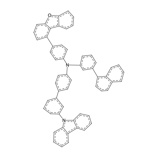 c1cc(-c2cccc3ccccc23)cc(N(c2ccc(-c3cccc(-n4c5ccccc5c5ccccc54)c3)cc2)c2ccc(-c3cccc4oc5ccccc5c34)cc2)c1